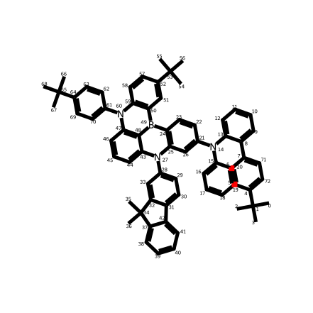 CC(C)(C)c1ccc(-c2ccccc2N(c2ccccc2)c2ccc3c(c2)N(c2ccc4c(c2)C(C)(C)c2ccccc2-4)c2cccc4c2B3c2cc(C(C)(C)C)ccc2N4c2ccc(C(C)(C)C)cc2)cc1